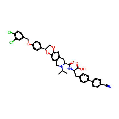 CC(C)N1Cc2cc3c(cc2C[C@H]1C(=O)NC(Cc1ccc(-c2ccc(C#N)cc2)cc1)C(=O)O)OC[C@H](c1ccc(OCc2ccc(Cl)c(Cl)c2)cc1)O3